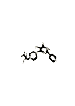 O=c1[nH]c(-c2ccncc2)nc(N2CCN(CC(F)(F)C(F)F)CC2)c1Cl